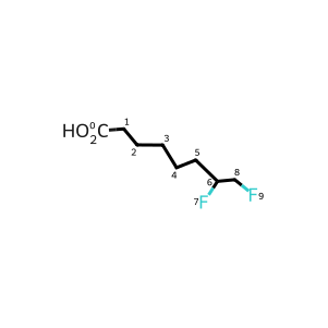 O=C(O)CCCCCC(F)CF